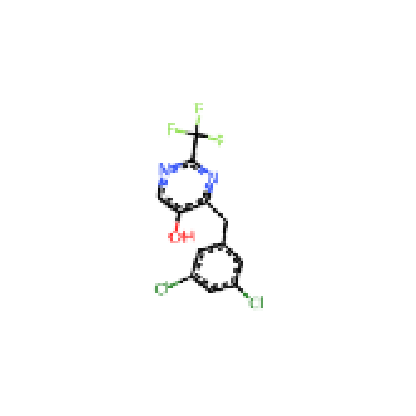 Oc1cnc(C(F)(F)F)nc1Cc1cc(Cl)cc(Cl)c1